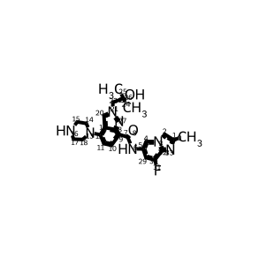 Cc1cn2cc(NC(=O)c3ccc(N4CCNCC4)c4cn(CC(C)(C)O)nc34)cc(F)c2n1